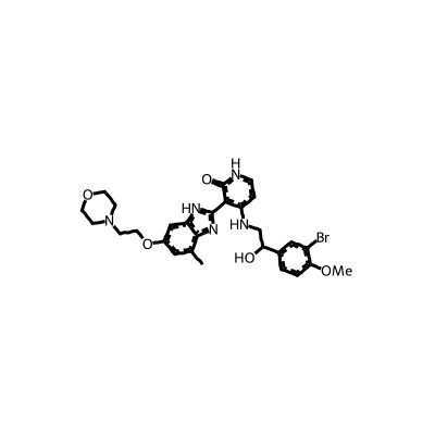 COc1ccc(C(O)CNc2cc[nH]c(=O)c2-c2nc3c(C)cc(OCCN4CCOCC4)cc3[nH]2)cc1Br